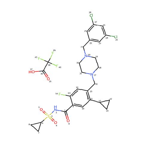 O=C(NS(=O)(=O)C1CC1)c1cc(C2CC2)c(CN2CCN(Cc3cc(Cl)cc(Cl)c3)CC2)cc1F.O=C(O)C(F)(F)F